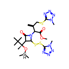 C=C(CSc1nnnn1C)C(C(=O)OC)N1C(=O)C([C@](C)(O[SiH](C)C)C(C)(C)C)C1SSc1nnnn1C